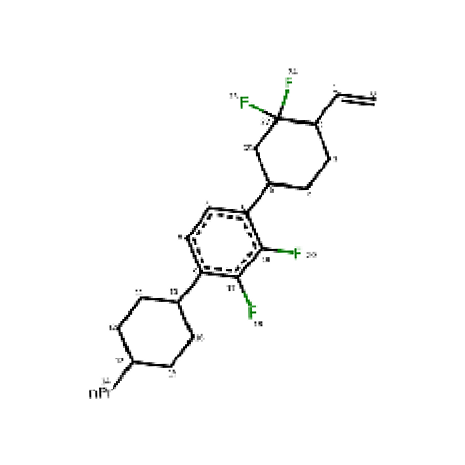 C=CC1CCC(c2ccc(C3CCC(CCC)CC3)c(F)c2F)CC1(F)F